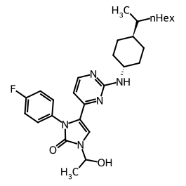 CCCCCCC(C)[C@H]1CC[C@H](Nc2nccc(-c3cn(C(C)O)c(=O)n3-c3ccc(F)cc3)n2)CC1